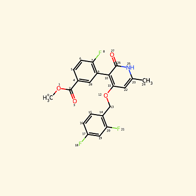 COC(=O)c1ccc(F)c(-c2c(OCc3ccc(F)cc3F)cc(C)[nH]c2=O)c1